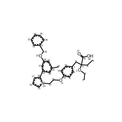 CCOC(CC)(Cc1ccc(OCCn2cccc2-c2cc(C)cc(OCc3ccccc3)c2)cc1)C(=O)O